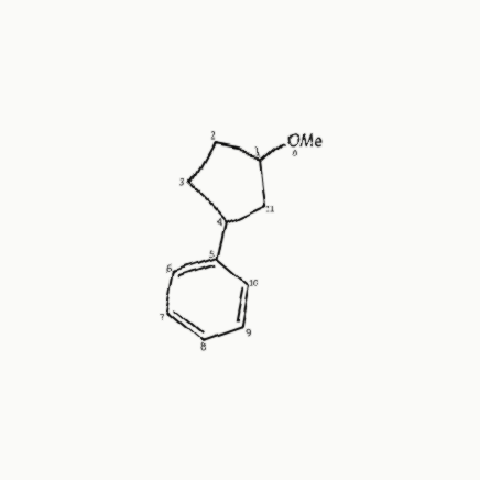 COC1CCC(c2ccccc2)C1